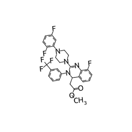 COC(=O)CC1c2cccc(F)c2N=C(N2CCN(c3cc(F)ccc3F)CC2)N1c1cccc(C(F)(F)F)c1